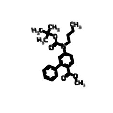 CCCCN(C(=O)OC(C)(C)C)c1ccc(C(=O)OC)c(-c2ccccc2)c1